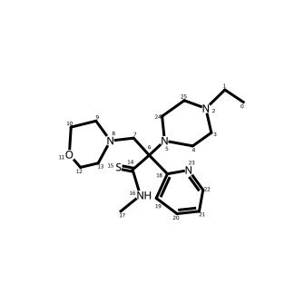 CCN1CCN(C(CN2CCOCC2)(C(=S)NC)c2ccccn2)CC1